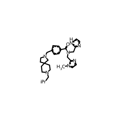 CC(C)CN1CCC2(CC1)CCN(Cc1ccc(C(=O)N(Cc3ncc[nH]3)Cc3nccn3C)cc1)C2